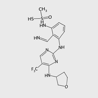 C[SH](=O)(S)Nc1cccc(Nc2ncc(C(F)(F)F)c(NC3CCOC3)n2)c1C=N